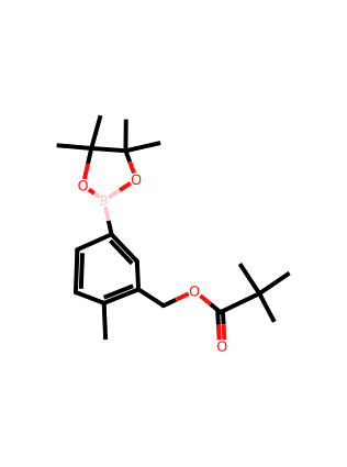 Cc1ccc(B2OC(C)(C)C(C)(C)O2)cc1COC(=O)C(C)(C)C